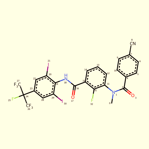 CN(C(=O)c1ccc(C#N)cc1)c1cccc(C(=O)Nc2c(I)cc(C(F)(C(F)(F)F)C(F)(F)F)cc2I)c1F